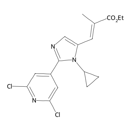 CCOC(=O)/C(C)=C/c1cnc(-c2cc(Cl)nc(Cl)c2)n1C1CC1